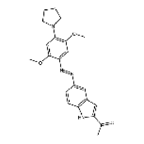 COc1cc(N2CCCC2)c(OC)cc1/N=N/c1ccc2[nH]c(C(C)=O)cc2c1